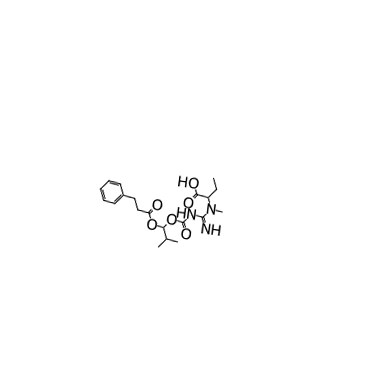 CCC(C(=O)O)N(C)C(=N)NC(=O)OC(OC(=O)CCc1ccccc1)C(C)C